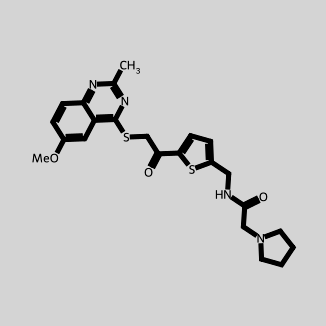 COc1ccc2nc(C)nc(SCC(=O)c3ccc(CNC(=O)CN4CCCC4)s3)c2c1